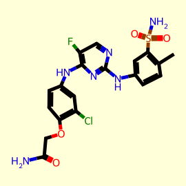 Cc1ccc(Nc2ncc(F)c(Nc3ccc(OCC(N)=O)c(Cl)c3)n2)cc1S(N)(=O)=O